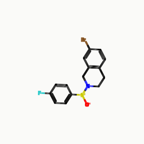 [O-][S+](c1ccc(F)cc1)N1CCc2ccc(Br)cc2C1